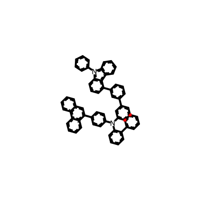 c1ccc(-c2ccccc2N(c2ccc(-c3cc4ccccc4c4ccccc34)cc2)c2cccc(-c3cccc(-c4cccc5c4c4ccccc4n5-c4ccccc4)c3)c2)cc1